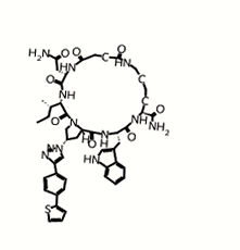 CC[C@H](C)[C@@H]1NC(=O)[C@H](CC(N)=O)NC(=O)CCC(=O)NCCCC[C@@H](C(N)=O)NC(=O)[C@H](Cc2c[nH]c3ccccc23)NC(=O)[C@@H]2C[C@H](n3cc(-c4ccc(-c5cccs5)cc4)nn3)CN2C1=O